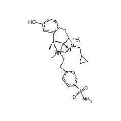 CC1CN(CC2CC2)[C@@H]2Cc3ccc(O)cc3[C@]1(C)[C@H]2NCCc1ccc(S(N)(=O)=O)cc1